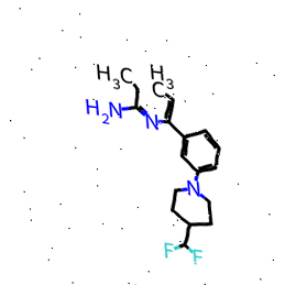 C/C=C(\N=C(\N)CC)c1cccc(N2CCC(C(F)F)CC2)c1